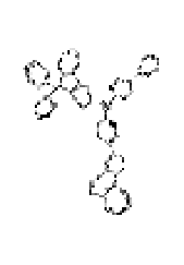 c1ccc(-c2ccc(N(c3ccc(-c4ccc5c(ccc6ccccc65)c4)cc3)c3ccc4c(c3)-c3ccccc3C4(c3ccccc3)c3ccccc3)cc2)cc1